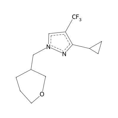 FC(F)(F)c1cn(CC2CCCOC2)nc1C1CC1